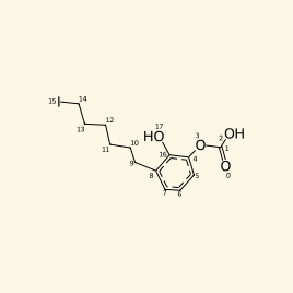 O=C(O)Oc1cccc(CCCCCCI)c1O